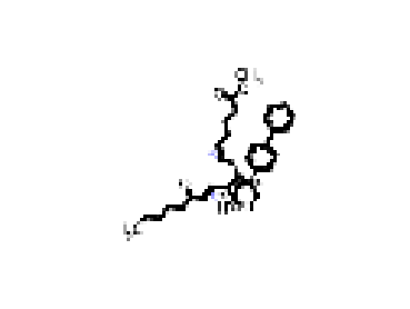 CCCCCC(=O)/C=C/[C@@H]1[C@@H]2C[C@@](c3ccc(-c4ccccc4)cc3)(CO2)[C@H]1C/C=C\CCCC(=O)OC